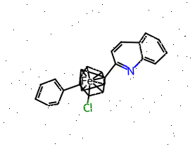 Cl[C]12[CH]3[C]4(c5ccc6ccccc6n5)[CH]5[C]1(c1ccccc1)[Fe]35421678[CH]2[CH]1[CH]6[CH]7[CH]28